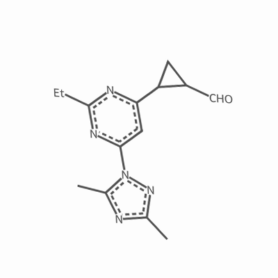 CCc1nc(C2CC2C=O)cc(-n2nc(C)nc2C)n1